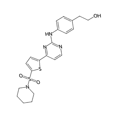 O=S(=O)(c1ccc(-c2ccnc(Nc3ccc(CCO)cc3)n2)s1)N1CCCCC1